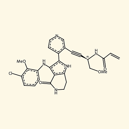 C=CC(=O)N[C@H](C#Cc1cnccc1-c1[nH]c2c(c1Nc1cccc(Cl)c1OC)C(=O)NCC2)COC